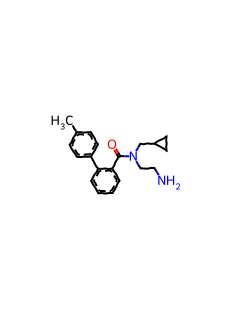 Cc1ccc(-c2ccccc2C(=O)N(CCN)CC2CC2)cc1